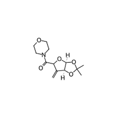 C=C1C(C(=O)N2CCOCC2)O[C@H]2OC(C)(C)O[C@@H]12